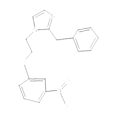 O=[N+]([O-])c1cccc(OCCn2ccnc2Cc2ccccc2)c1